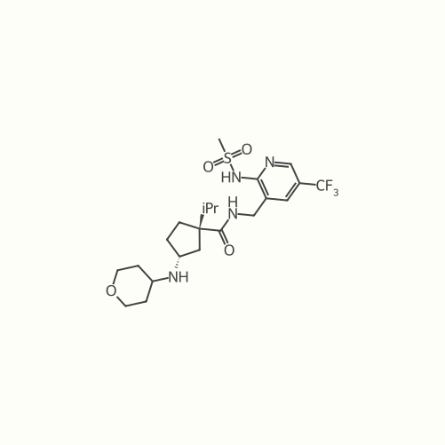 CC(C)[C@]1(C(=O)NCc2cc(C(F)(F)F)cnc2NS(C)(=O)=O)CC[C@@H](NC2CCOCC2)C1